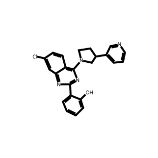 Oc1ccccc1-c1nc(N2CCC(c3cccnc3)C2)c2ccc(Cl)cc2n1